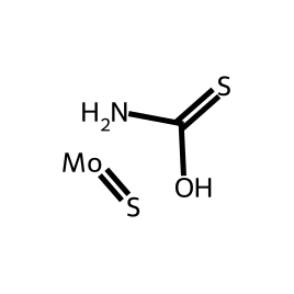 NC(O)=S.[S]=[Mo]